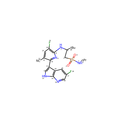 CCCNS(=O)(=O)CC(Nc1nc(-c2c[nH]c3ncc(F)cc23)c(C#N)cc1F)C(C)(C)C